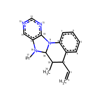 C=CC1c2ccccc2N2c3ncncc3N(C(C)C)C2C1C